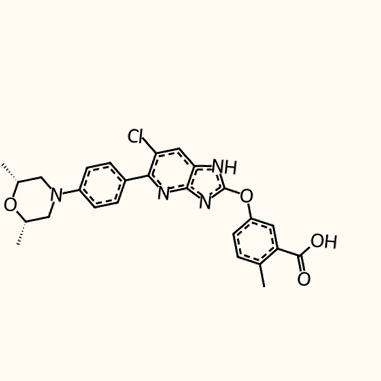 Cc1ccc(Oc2nc3nc(-c4ccc(N5C[C@@H](C)O[C@@H](C)C5)cc4)c(Cl)cc3[nH]2)cc1C(=O)O